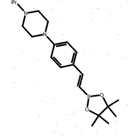 CC(C)N1CCN(c2ccc(/C=C/B3OC(C)(C)C(C)(C)O3)cc2)CC1